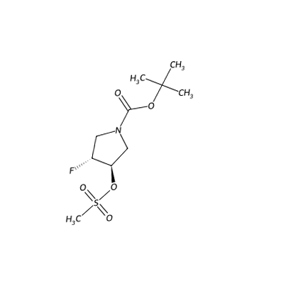 CC(C)(C)OC(=O)N1C[C@@H](F)[C@H](OS(C)(=O)=O)C1